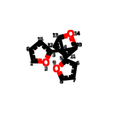 c1coc(C2(c3ccco3)c3ccc2o3)c1